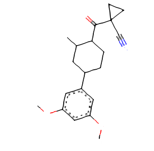 COc1cc(OC)cc(C2CCC(C(=O)C3(C#N)CC3)C(C)C2)c1